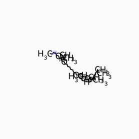 CC/C=C\COC[C@H](COCCCCCCCCO[C@H]1CCC2(C)C(=CCC3[C@@H]2CCC2(C)[C@@H]([C@H](C)CCCC(C)C)CC[C@@H]32)C1)N(C)C